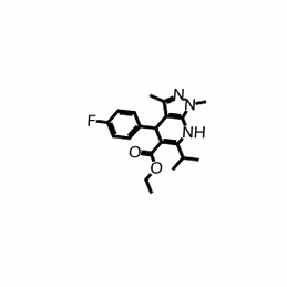 CCOC(=O)C1=C(C(C)C)Nc2c(c(C)nn2C)C1c1ccc(F)cc1